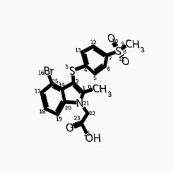 Cc1c(Sc2ccc(S(C)(=O)=O)cc2)c2c(Br)cccc2n1CC(=O)O